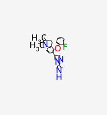 CC1CCc2c(ccc(-c3cnn(C4CNC4)c3)c2Oc2ccccc2F)N1C